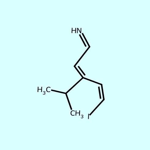 CC(C)C(/C=C\I)=C/C=N